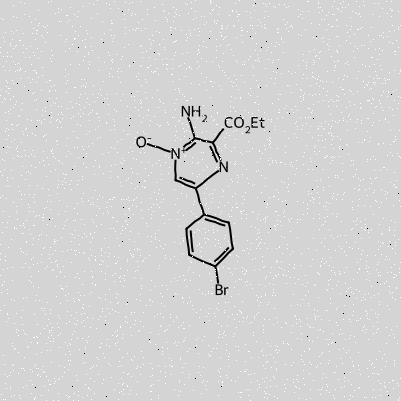 CCOC(=O)c1nc(-c2ccc(Br)cc2)c[n+]([O-])c1N